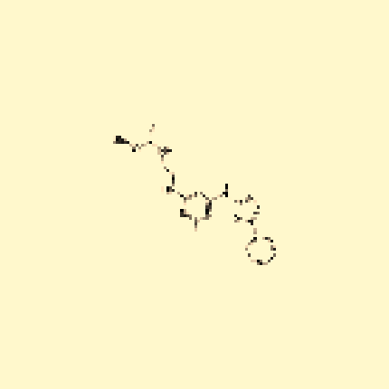 Cc1nc(NCCNC(=O)OC(C)(C)C)cc(Nc2ncc(-c3ccccc3)s2)n1